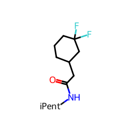 CCCC(C)NC(=O)CC1CCCC(F)(F)C1